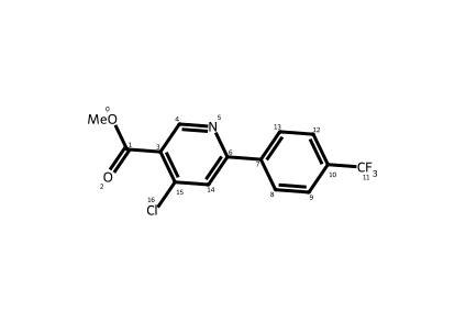 COC(=O)c1cnc(-c2ccc(C(F)(F)F)cc2)cc1Cl